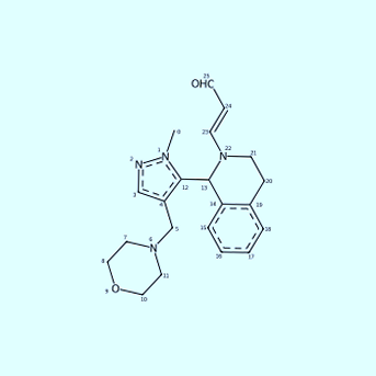 Cn1ncc(CN2CCOCC2)c1C1c2ccccc2CCN1C=CC=O